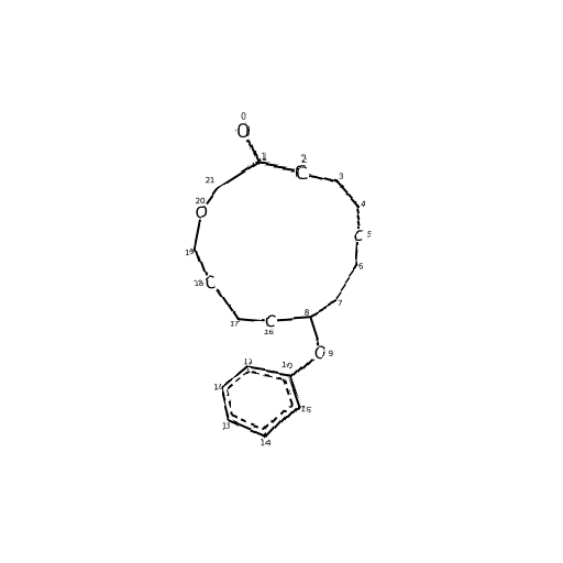 [O]C1CCCCCCC(Oc2[c]cccc2)CCCCOC1